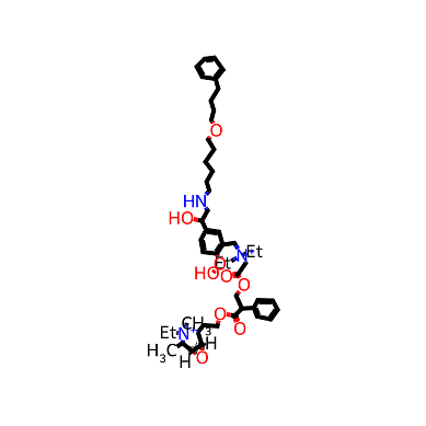 CC[N+](CC)(CC(=O)OCC(C(=O)OCCC1[C@@H]2O[C@@H]2C(C)[N+]1(C)CC)c1ccccc1)Cc1cc(C(O)CNCCCCCCOCCCCc2ccccc2)ccc1OO